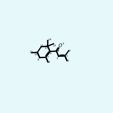 CC(C)=CC(=O)C1=C(C)CC(C)CC1(C)C